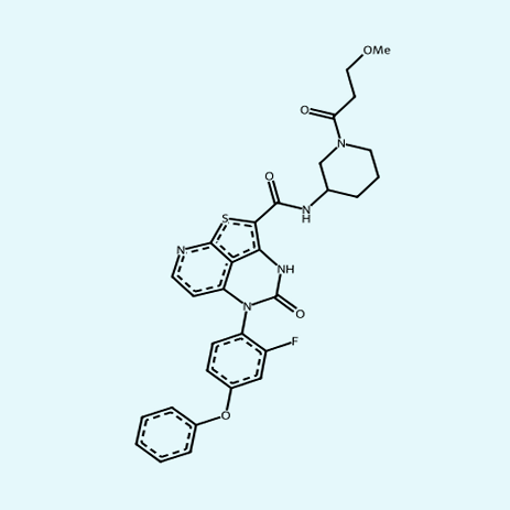 COCCC(=O)N1CCCC(NC(=O)c2sc3nccc4c3c2NC(=O)N4c2ccc(Oc3ccccc3)cc2F)C1